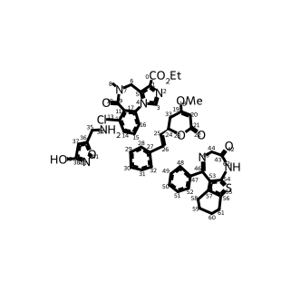 CCOC(=O)c1ncn2c1CN(C)C(=O)c1c(Cl)cccc1-2.COC1=CC(=O)O[C@@H](/C=C/c2ccccc2)C1.NCc1cc(O)no1.O=C1CN=C(c2ccccc2)c2c(sc3c2CCCC3)N1